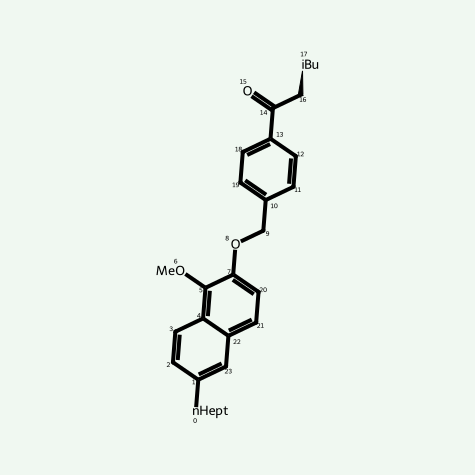 CCCCCCCc1ccc2c(OC)c(OCc3ccc(C(=O)C[C@H](C)CC)cc3)ccc2c1